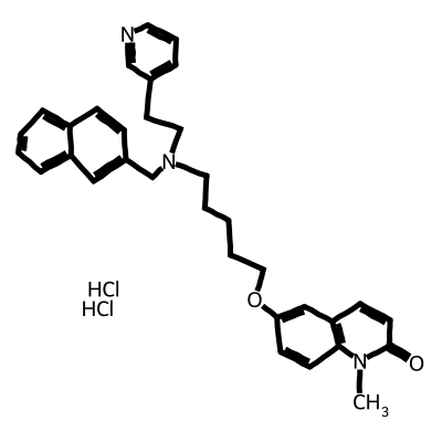 Cl.Cl.Cn1c(=O)ccc2cc(OCCCCCN(CCc3cccnc3)Cc3ccc4ccccc4c3)ccc21